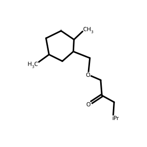 CC(C)CC(=O)COCC1CC(C)C[CH]C1C